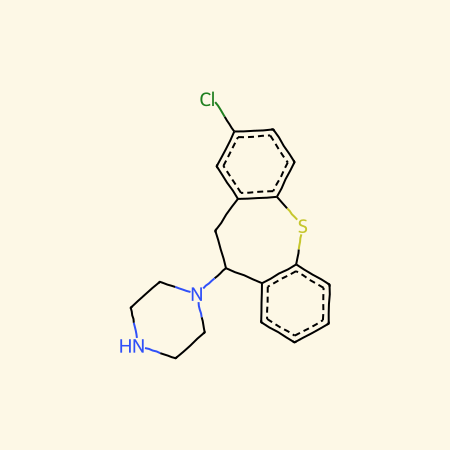 Clc1ccc2c(c1)CC(N1CCNCC1)c1ccccc1S2